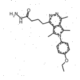 CCOc1ccc(-n2c(C)c3c(C)nnc(CCCC(=O)NN)c3c2C)cc1